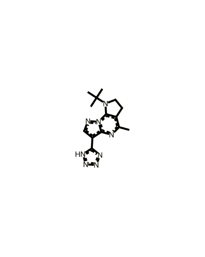 Cc1nc2c(-c3nnn[nH]3)cnn2c2c1CCN2C(C)(C)C